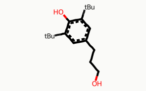 CC(C)(C)c1cc(CCCO)cc(C(C)(C)C)c1O